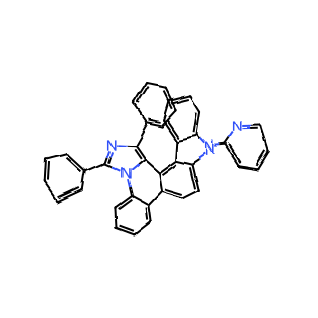 c1ccc(-c2nc(-c3ccccc3)n3c4ccccc4c4ccc5c(c6ccccc6n5-c5ccccn5)c4c23)cc1